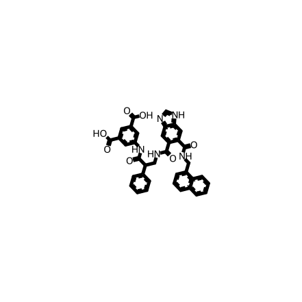 O=C(O)c1cc(NC(=O)C(CNC(=O)c2cc3nc[nH]c3cc2C(=O)NCc2cccc3ccccc23)c2ccccc2)cc(C(=O)O)c1